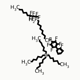 CCCCCCCCC[PH2+]C(F)(F)C(F)(F)C(F)(F)CCCCCC.CCCCCCC[B-](CCCCCCC)(CCCCCCC)CCCCCCC.Fc1ccccc1-c1c(F)c(F)c(F)c(F)c1F